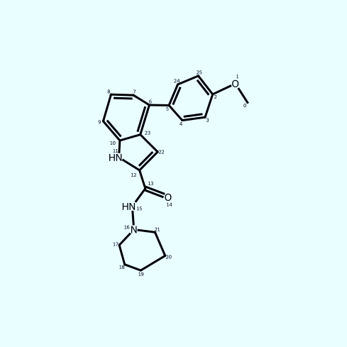 COc1ccc(-c2cccc3[nH]c(C(=O)NN4CCCCC4)cc23)cc1